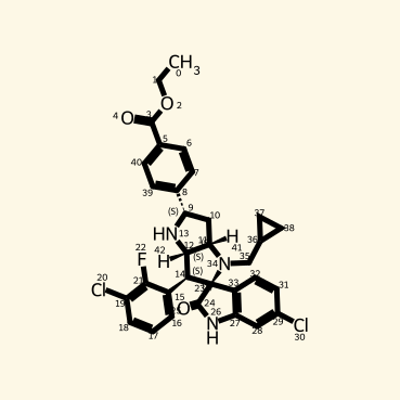 CCOC(=O)c1ccc([C@@H]2C[C@H]3[C@@H](N2)[C@H](c2cccc(Cl)c2F)[C@]2(C(=O)Nc4cc(Cl)ccc42)N3CC2CC2)cc1